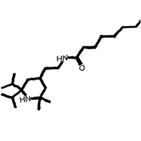 CCCCCCCC(=O)NCCC1CC(C)(C)NC(C(C)C)(C(C)C)C1